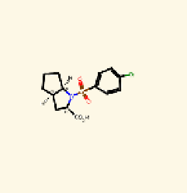 O=C(O)[C@H]1C[C@H]2CCC[C@H]2N1S(=O)(=O)c1ccc(Br)cc1